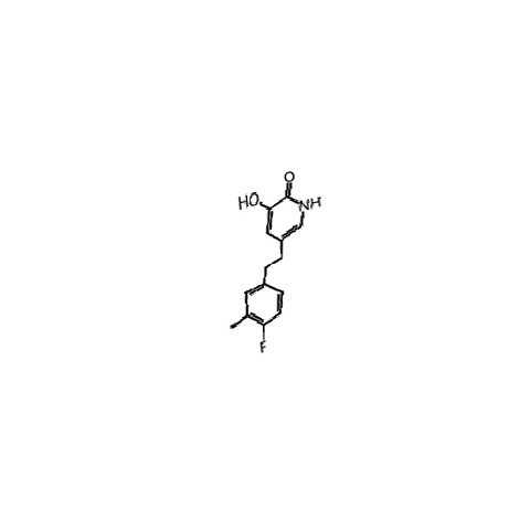 Cc1cc(CCc2c[nH]c(=O)c(O)c2)ccc1F